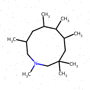 CC1CC(C)C(C)C(C)CC(C)(C)CN(C)C1